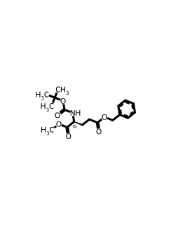 COC(=O)[C@H](CCC(=O)OCc1ccccc1)NC(=O)OC(C)(C)C